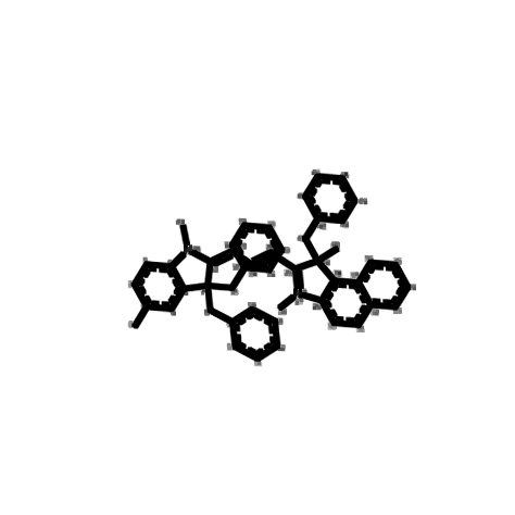 Cc1ccc2c(c1)C(Cc1ccccc1)(Cc1ccccc1)/C(=C\C=C\C1=[N+](C)c3ccc4ccccc4c3C1(C)Cc1ccccc1)N2C